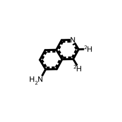 [2H]c1ncc2ccc(N)cc2c1[2H]